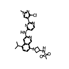 CC(C)c1ccc(N2CC(NS(C)(=O)=O)C2)c2cnc(Nc3ccnc(-c4cn(C)nc4Cl)n3)cc12